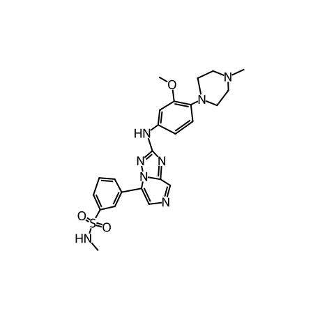 CNS(=O)(=O)c1cccc(-c2cncc3nc(Nc4ccc(N5CCN(C)CC5)c(OC)c4)nn23)c1